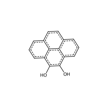 Oc1c(O)c2cccc3ccc4cccc1c4c32